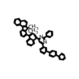 CC1(C)c2ccc3ccccc3c2-c2cccc(-c3ccc(-c4cc(-c5cccc(-c6ccc(-c7ccccc7)cc6)c5)nc(-c5ccccc5)n4)c4ccccc34)c21